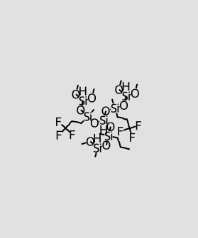 CCC[Si](C)(O[SiH](C)OC)O[SiH](O[Si](C)(CCC(F)(F)F)O[SiH](OC)OC)O[Si](C)(CCC(F)(F)F)O[SiH](OC)OC